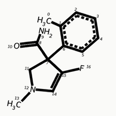 Cc1ccccc1C1(C(N)=O)CN(C)C=C1F